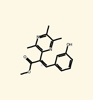 COC(=O)/C(=C/c1cccc(O)c1)c1nc(C)c(C)nc1C